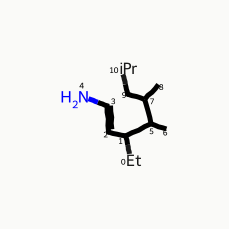 CCC(/C=C/N)C(C)C(C)CC(C)C